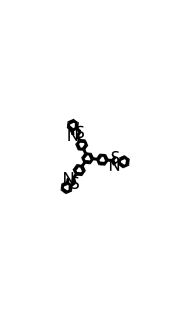 c1ccc2sc(-c3ccc(-c4cc(-c5ccc(-c6nc7ccccc7s6)cc5)cc(-c5ccc(-c6nc7ccccc7s6)cc5)c4)cc3)nc2c1